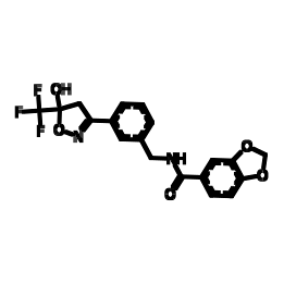 O=C(NCc1cccc(C2=NOC(O)(C(F)(F)F)C2)c1)c1ccc2c(c1)OCO2